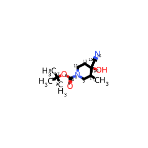 CC1CN(C(=O)OC(C)(C)C)CCC1(O)C#N